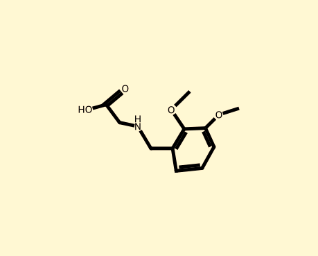 COc1cccc(CNCC(=O)O)c1OC